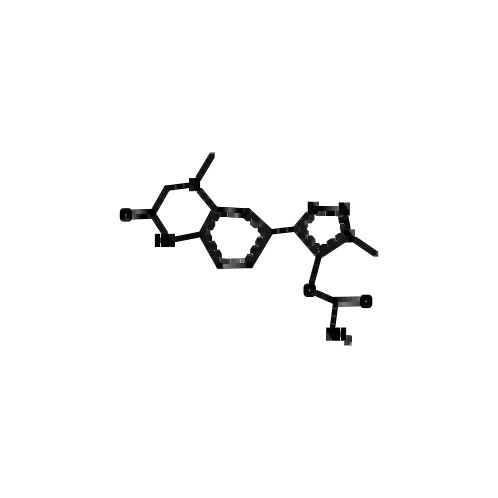 CN1CC(=O)Nc2ccc(-c3nnn(C)c3OC(N)=O)cc21